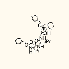 CC(C)C[C@H](NC(=O)[C@@H](NC(=O)OCc1ccccc1)C(C)C)C(=O)NC[C@H](O)CP(=O)(CC1CCCCC1)OCc1ccccc1